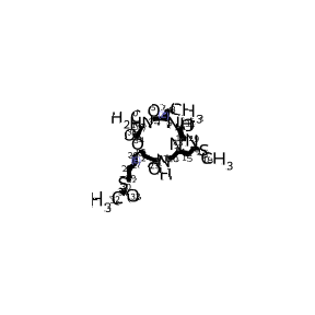 C=C[C@@H]1NC(=O)/C(=C/C)NC(=O)c2nc(cc(SC)n2)CNC(=O)C[C@@H](/C=C/CCSC(C)=O)OC1=O